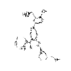 COc1ccc(-c2ccc3c(N4CCOC[C@@H]4C)nc(N4CCCC(CN(C)C)C4)nc3n2)cc1CO